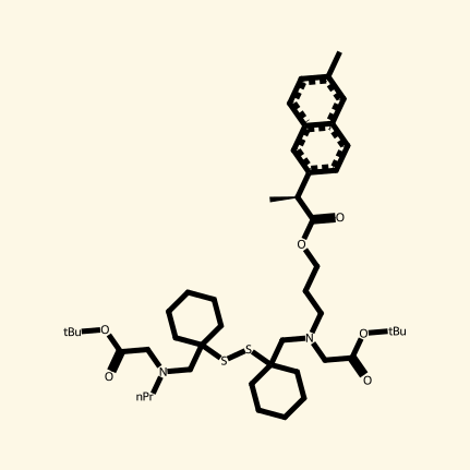 [CH2]CCN(CC(=O)OC(C)(C)C)CC1(SSC2(CN(CCCOC(=O)[C@@H](C)c3ccc4cc(C)ccc4c3)CC(=O)OC(C)(C)C)CCCCC2)CCCCC1